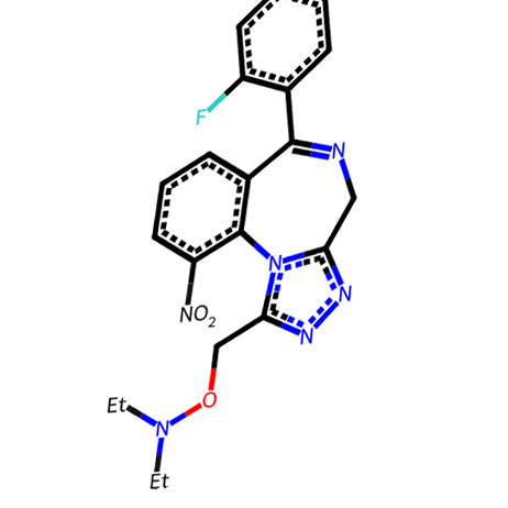 CCN(CC)OCc1nnc2n1-c1c(cccc1[N+](=O)[O-])C(c1ccccc1F)=NC2